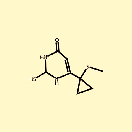 CSC1(C2=CC(=O)NC(S)N2)CC1